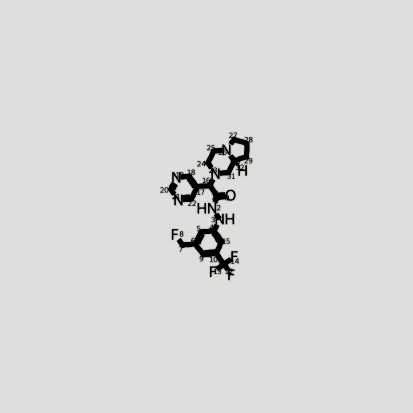 O=C(NNc1cc(CF)cc(C(F)(F)F)c1)C(c1cncnc1)N1CCN2CCC[C@@H]2C1